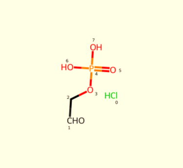 Cl.O=CCOP(=O)(O)O